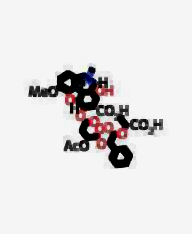 COc1ccc2c3c1O[C@@H]1C(OC(=O)C[C@H](OC(C)=O)C(=O)O[C@H](C(=O)O[C@H](CC(=O)O)C(=O)O)c4ccccc4)=CC[C@]4(O)[C@H](C2)N(C)CC[C@@]314